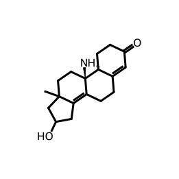 CC12CC[C@@]3(N)C(=C1CC(O)C2)CCC1=CC(=O)CCC13